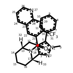 Cn1nc2c(c1-c1ccccc1)C[C@H]1CCC[C@@H]2N1C(=O)c1cc2cccnc2nc1C(F)(F)F